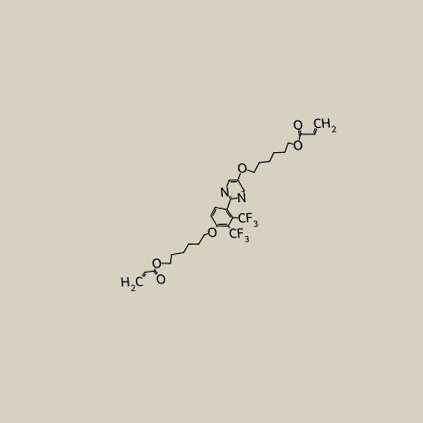 C=CC(=O)OCCCCCCOc1cnc(-c2ccc(OCCCCCCOC(=O)C=C)c(C(F)(F)F)c2C(F)(F)F)nc1